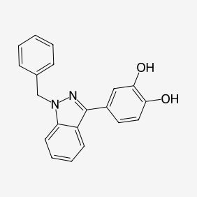 Oc1ccc(-c2nn(Cc3ccccc3)c3ccccc23)cc1O